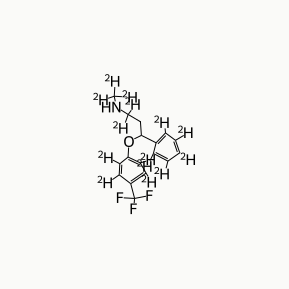 [2H]c1c([2H])c([2H])c(C(CC([2H])([2H])NC([2H])([2H])[2H])Oc2c([2H])c([2H])c(C(F)(F)F)c([2H])c2[2H])c([2H])c1[2H]